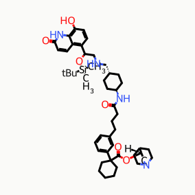 CC(C)(C)[Si](C)(C)OC(CNC[C@H]1CC[C@H](NC(=O)CCCc2cccc(C3(C(=O)O[C@H]4CN5CCC4CC5)CCCCC3)c2)CC1)c1ccc(O)c2[nH]c(=O)ccc12